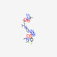 CCN(C(=O)c1cc(F)ccc1Oc1nncnc1N1CCC2(C1)CN(C(CCC(C)(C)OC(=O)NC(C)(C)C)C(C)C)C2)C(C)C